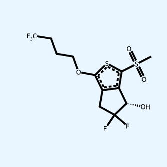 CS(=O)(=O)c1sc(OCCCC(F)(F)F)c2c1[C@H](O)C(F)(F)C2